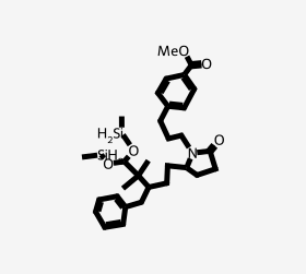 COC(=O)c1ccc(CCCN2C(=O)CCC2CCC(Cc2ccccc2)C(C)(C)C(O[SiH2]C)O[SiH2]C)cc1